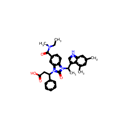 CCN(C)C(=O)c1ccc2c(c1)n(C(CC(=O)O)c1ccccc1)c(=O)n2C(C)c1c[nH]c2cc(C)cc(C)c12